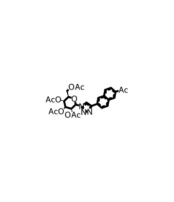 CC(=O)OC[C@H]1OC(n2cc(-c3ccc4cc(C(C)=O)ccc4c3)nn2)[C@H](OC(C)=O)[C@@H](OC(C)=O)[C@@H]1OC(C)=O